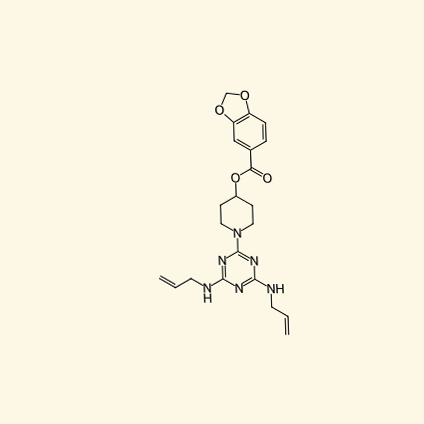 C=CCNc1nc(NCC=C)nc(N2CCC(OC(=O)c3ccc4c(c3)OCO4)CC2)n1